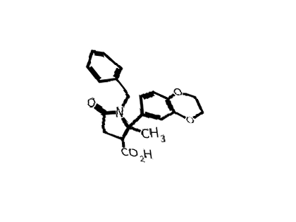 CC1(c2ccc3c(c2)OCCO3)C(C(=O)O)CC(=O)N1Cc1ccccc1